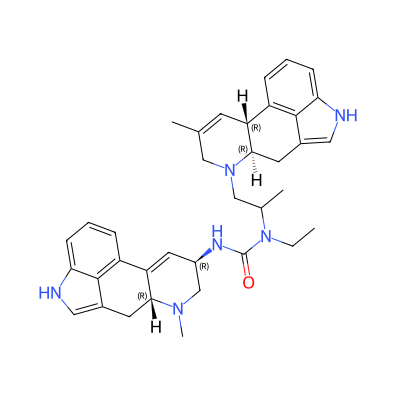 CCN(C(=O)N[C@@H]1C=C2c3cccc4[nH]cc(c34)C[C@H]2N(C)C1)C(C)CN1CC(C)=C[C@@H]2c3cccc4[nH]cc(c34)C[C@H]21